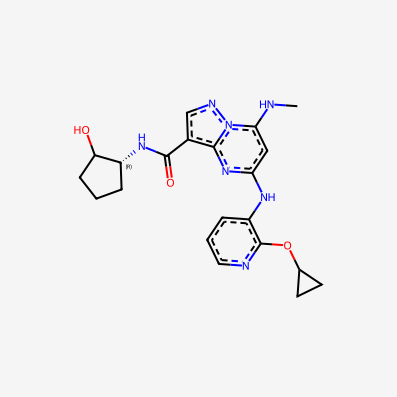 CNc1cc(Nc2cccnc2OC2CC2)nc2c(C(=O)N[C@@H]3CCCC3O)cnn12